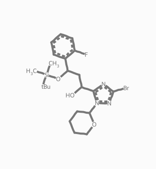 CC(C)(C)[Si](C)(C)OC(CC(O)c1nc(Br)nn1C1CCCCO1)c1ccccc1F